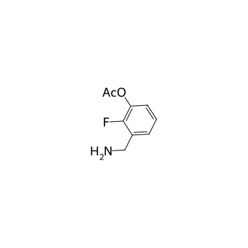 CC(=O)Oc1cccc(CN)c1F